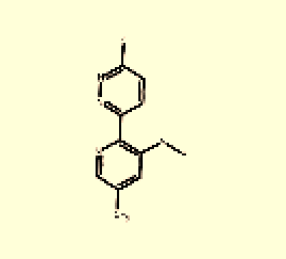 CCSc1cc(C(F)(F)F)cnc1-c1ccc(Cl)nn1